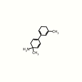 CC1=CC(C2=CCC(C)(N)C=C2)=CCC1